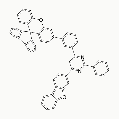 c1ccc(-c2nc(-c3cccc(-c4ccc5c(c4)Oc4ccccc4C54c5ccccc5-c5ccccc54)c3)cc(-c3ccc4c(c3)oc3ccccc34)n2)cc1